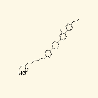 C=CC(CCCCCCc1ccc(C2CCC(c3ccc(-c4ccc(CCC)cc4)c(C)c3)CC2)cc1)OO